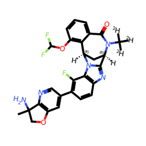 [2H]C([2H])([2H])N1C(=O)c2cccc(OC(F)F)c2[C@H]2C[C@@H]1c1nc3ccc(-c4cnc5c(c4)OCC5(C)N)c(F)c3n12